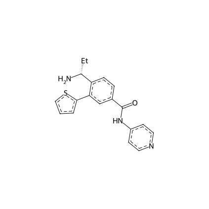 CC[C@@H](N)c1ccc(C(=O)Nc2ccncc2)cc1-c1cccs1